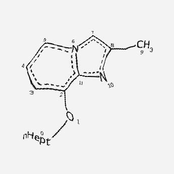 CCCCCCCOc1cccn2cc(C)nc12